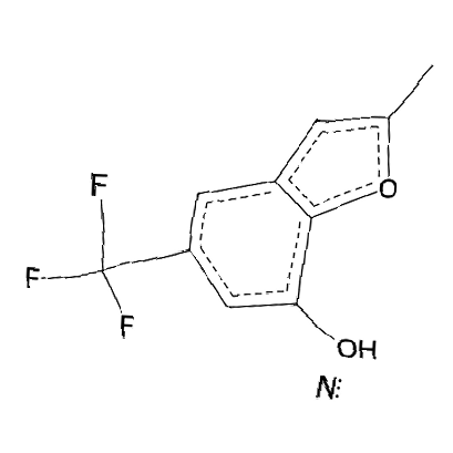 Cc1cc2cc(C(F)(F)F)cc(O)c2o1.[N]